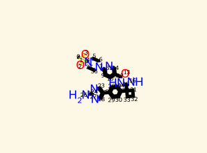 CS(=O)(=O)N1CCN(c2ccc(C(=O)NC(=N)C3(c4ccc(-c5cnc(N)nc5)cc4)CCC3)cn2)CC1